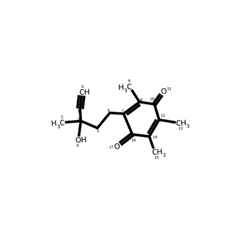 C#CC(C)(O)CCC1=C(C)C(=O)C(C)=C(C)C1=O